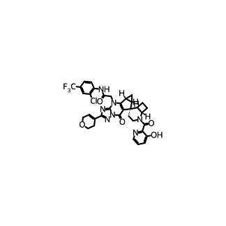 O=C(Cn1c2c(c(=O)n3nc(C4=CCOCC4)nc13)[C@@]1(CCN(C(=O)c3ncccc3O)[C@H]3CC[C@H]31)[C@H]1C[C@@H]21)Nc1ccc(C(F)(F)F)cc1Cl